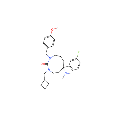 COc1ccc(CN2CCC[C@](c3cccc(F)c3)(N(C)C)CCN(CC3CCC3)C2=O)cc1